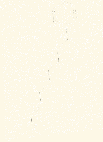 C/C=C/CCCCSCc1ccccc1